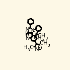 Cc1noc(C)c1-c1ccc2c(c1)ncc1nc(-c3ccccc3)n(-c3ccccc3C(C)(C)C)c12